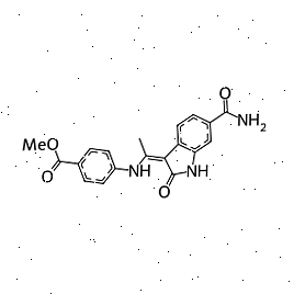 COC(=O)c1ccc(N/C(C)=C2\C(=O)Nc3cc(C(N)=O)ccc32)cc1